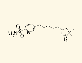 CC1(C)CC(CCCCCc2ccc(S(N)(=O)=O)nc2)CN1